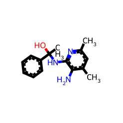 Cc1cc(C)c(N)c(NC(C)(O)c2ccccc2)n1